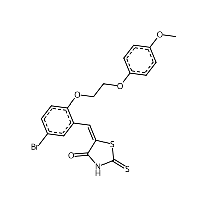 COc1ccc(OCCOc2ccc(Br)cc2C=C2SC(=S)NC2=O)cc1